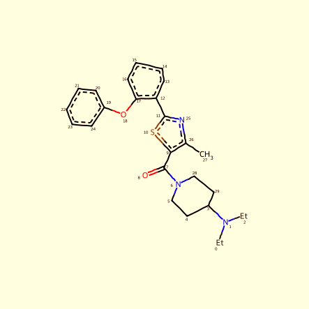 CCN(CC)C1CCN(C(=O)c2sc(-c3ccccc3Oc3ccccc3)nc2C)CC1